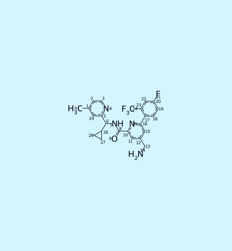 Cc1ccnc(C(NC(=O)c2cc(CN)cc(-c3ccc(F)cc3C(F)(F)F)n2)C2CC2)c1